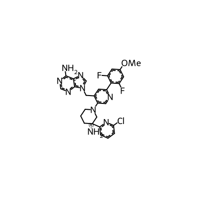 COc1cc(F)c(-c2cc(Cn3cnc4c(N)ncnc43)c(N3CCC[C@](N)(c4cccc(Cl)n4)C3)cn2)c(F)c1